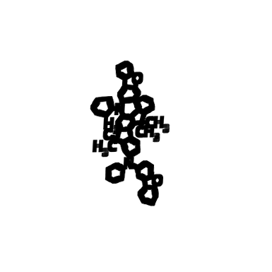 CC1(C)c2cc(N(c3ccccc3)c3ccc4oc5ccccc5c4c3)ccc2-c2c1cc(N(c1ccccc1)c1ccc3oc4ccccc4c3c1)c1c2C(C)(C)c2ccccc2-1